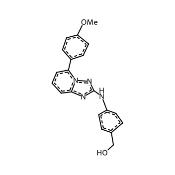 COc1ccc(-c2cccc3nc(Nc4ccc(CO)cc4)nn23)cc1